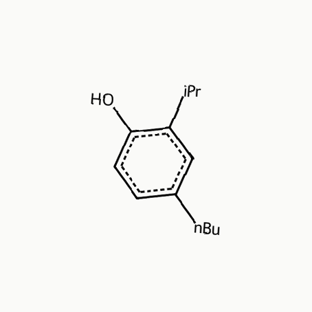 CCCCc1ccc(O)c(C(C)C)c1